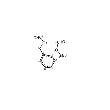 CCCCOC=O.O=COCc1ccccc1